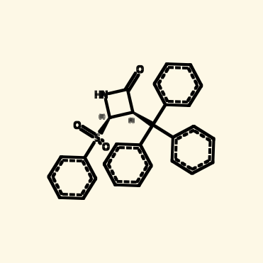 O=C1N[C@H](S(=O)(=O)c2ccccc2)[C@@H]1C(c1ccccc1)(c1ccccc1)c1ccccc1